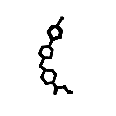 CC(C)(C)OC(=O)N1CCC(OC2CCN(c3ccc(Br)cc3)CC2)CC1